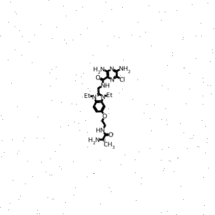 CCn1c(CNC(=O)c2nc(Cl)c(N)nc2N)[n+](CC)c2ccc(OCCNC(=O)[C@H](C)N)cc21